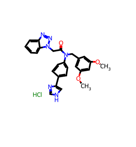 COc1cc(CN(C(=O)Cn2nnc3ccccc32)c2ccc(-c3c[nH]cn3)cc2)cc(OC)c1.Cl